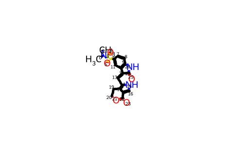 CN(C)S(=O)(=O)c1ccc2c(c1)C(=Cc1[nH]cc3c1CCOC3=O)C(=O)N2